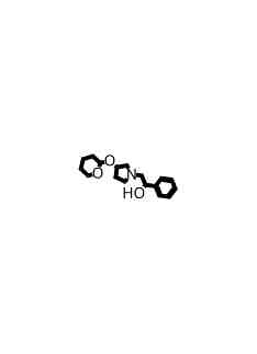 OC(CN1CCC(OC2CCCCO2)C1)c1ccccc1